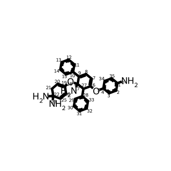 Nc1ccc(OC2=CC=C(c3ccccc3)C(N)(OC3=CCC(N)(N)C=C3)C2c2ccccc2)cc1